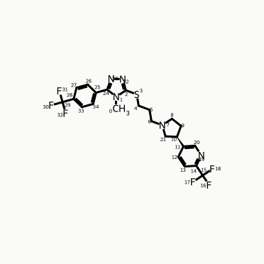 Cn1c(SCCCN2CC[C@@H](c3ccc(C(F)(F)F)nc3)C2)nnc1-c1ccc(C(F)(F)F)cc1